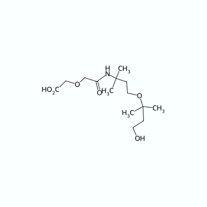 CC(C)(CCOC(C)(C)CCO)NC(=O)COCC(=O)O